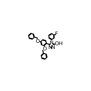 Oc1nnc(-c2ccc(OCc3ccccc3)cc2OCc2ccccc2)n1-c1cccc(F)c1